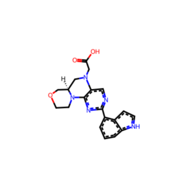 O=C(O)CN1C[C@@H]2COCCN2c2nc(-c3cccc4[nH]ccc34)ncc21